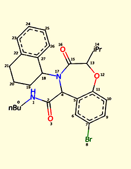 CCCCNC(=O)C1c2cc(Br)ccc2OC(C(C)C)C(=O)N1C1CCCc2ccccc21